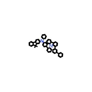 CC1(C)c2ccccc2-c2ccc(N(c3ccccc3)c3ccc(-c4ccccc4-n4c5ccccc5c5cccc(-c6cccc(-c7ccccc7)c6)c54)cc3)cc21